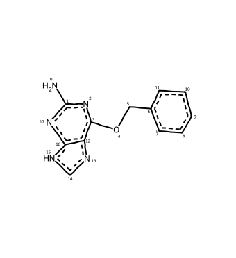 Nc1nc(OCc2[c]cccc2)c2nc[nH]c2n1